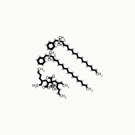 CCCCC(CC)CC(C(=O)[O-])C(CC(CC)CCCC)(C(=O)[O-])S(=O)(=O)O.CCCCCCCCCCCCCCCC[N+](C)(C)Cc1ccccc1.CCCCCCCCCCCCCCCC[N+](C)(C)Cc1ccccc1